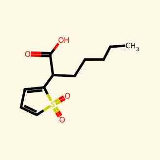 CCCCCC(C(=O)O)C1=CC=CS1(=O)=O